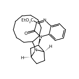 CCOC(=O)c1nc2ccccc2n([C@@H]2C[C@@H]3CC[C@H]2N3C2CCCCCCCCC2)c1=O